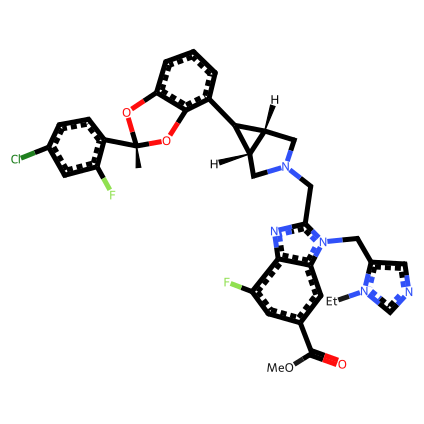 CCn1cncc1Cn1c(CN2C[C@@H]3C(c4cccc5c4O[C@](C)(c4ccc(Cl)cc4F)O5)[C@@H]3C2)nc2c(F)cc(C(=O)OC)cc21